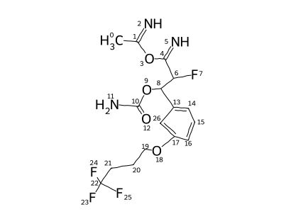 CC(=N)OC(=N)C(F)C(OC(N)=O)c1cccc(OCCCC(F)(F)F)c1